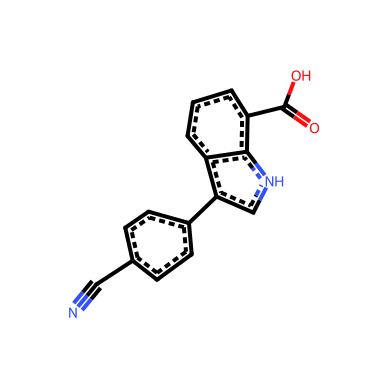 N#Cc1ccc(-c2c[nH]c3c(C(=O)O)cccc23)cc1